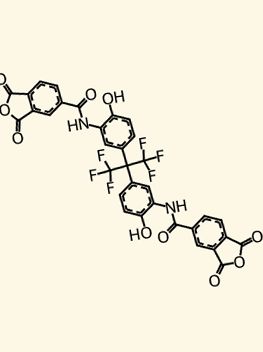 O=C(Nc1cc(C(c2ccc(O)c(NC(=O)c3ccc4c(c3)C(=O)OC4=O)c2)(C(F)(F)F)C(F)(F)F)ccc1O)c1ccc2c(c1)C(=O)OC2=O